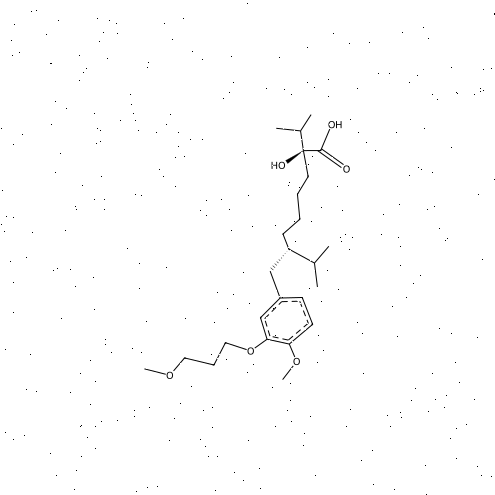 COCCCOc1cc(C[C@H](CCCC[C@@](O)(C(=O)O)C(C)C)C(C)C)ccc1OC